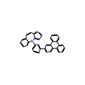 C1=Cc2ccccc2N(c2cccc(-c3ccc4c5ccccc5c5ccccc5c4c3)c2)c2ccccc21